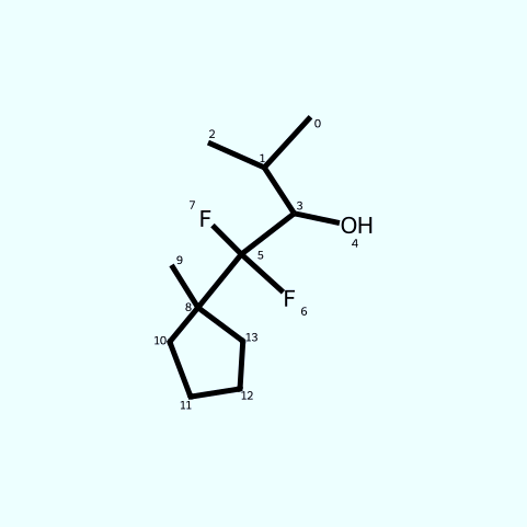 CC(C)C(O)C(F)(F)C1(C)CCCC1